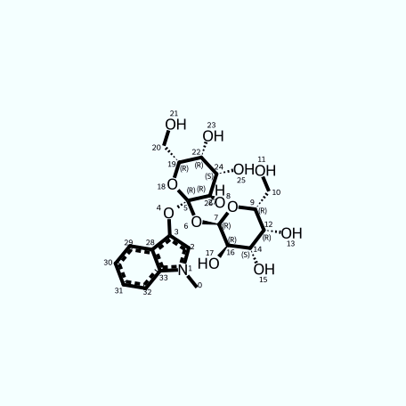 Cn1cc(O[C@]2(O[C@H]3O[C@H](CO)[C@H](O)[C@H](O)[C@H]3O)O[C@H](CO)[C@H](O)[C@H](O)[C@H]2O)c2ccccc21